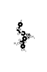 CNC(=O)c1c(-c2ccc(C)cc2)oc2cc(N(C)S(C)(=O)=O)c([C@@H]3CCCN(C(=O)c4coc(-c5ccc(F)cc5)n4)C3)cc12